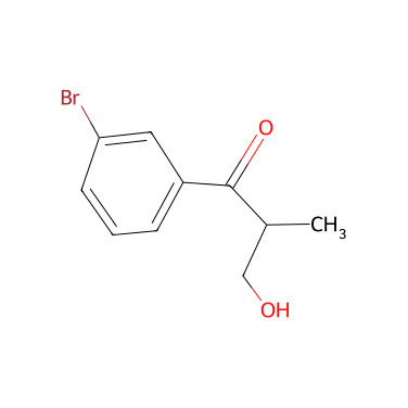 CC(CO)C(=O)c1cccc(Br)c1